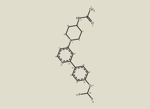 CC(=O)NC1CCN(c2ccnc(-c3ccc(OC(F)F)cc3)c2)CC1